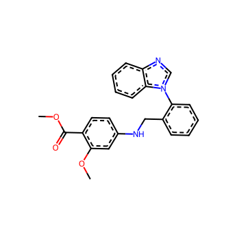 COC(=O)c1ccc(NCc2ccccc2-n2cnc3ccccc32)cc1OC